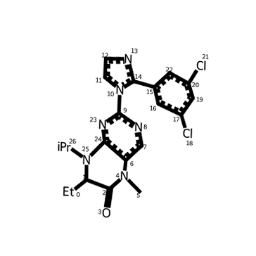 CCC1C(=O)N(C)c2cnc(-n3ccnc3-c3cc(Cl)cc(Cl)c3)nc2N1C(C)C